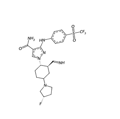 N=C[C@H]1CC(N2CC[C@H](F)C2)CC[C@@H]1n1cc(C(N)=O)c(Nc2ccc(S(=O)(=O)C(F)(F)F)cc2)n1